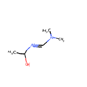 CC(O)/N=C/N(C)C